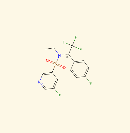 CCN([C@@H](c1ccc(F)cc1)C(F)(F)F)S(=O)(=O)c1cncc(F)c1